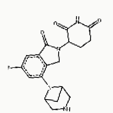 O=C1CCC(N2Cc3c(cc(F)cc3N3C4CNCC3C4)C2=O)C(=O)N1